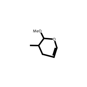 COC1OC=CCC1C